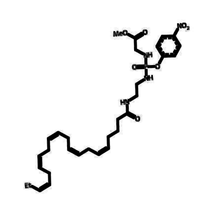 CC/C=C\C/C=C\C/C=C\C/C=C\C/C=C\CCCC(=O)NCCNP(=O)(NCC(=O)OC)Oc1ccc([N+](=O)[O-])cc1